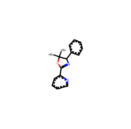 CCCCC1(CCCC)OC(c2ccccn2)=NC1c1ccccc1